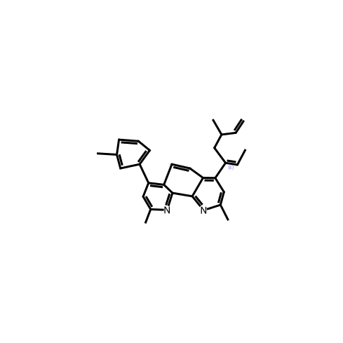 C=CC(C)C/C(=C\C)c1cc(C)nc2c1ccc1c(-c3cccc(C)c3)cc(C)nc12